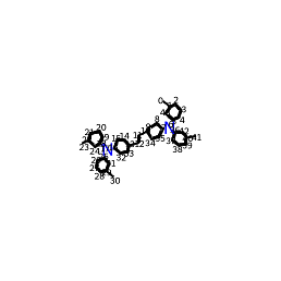 Cc1cccc(N(c2ccc(/C=C/c3ccc(N(c4cccc(C)c4)c4cccc(C)c4)cc3)cc2)c2cccc(C)c2)c1